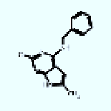 Cc1cc2c(NCc3ccccc3)nc(Cl)nc2[nH]1